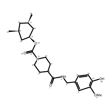 COc1cc(CNC(=O)C2CCN(C(=O)O[C@@H]3C[C@H](C)C[C@H](C)C3)CC2)ccc1O